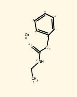 CCNC(=S)Sc1ccccc1.[Zn]